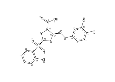 O=C(O)[C@H]1C[C@H](S(=O)(=O)c2ccccc2Cl)C[C@@H]1OCc1ccc(Cl)c(Cl)c1